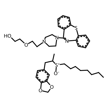 CCCCCCCC[S+]([O-])C(C)Cc1ccc2c(c1)OCO2.OCCOCCN1CCN(C2=Nc3ccccc3Sc3ccccc32)CC1